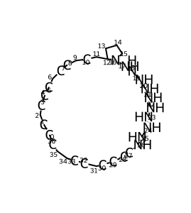 C1CCCCCCCCCCCC2CCCN2NNNNNNNNNNCCCCCCCCCC1